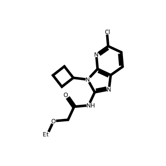 CCOCC(=O)Nc1nc2ccc(Cl)nc2n1C1CCC1